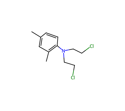 Cc1ccc(N(CCCl)CCCl)c(C)c1